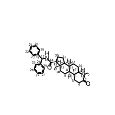 CN1C(=O)CC[C@]2(C)[C@H]3CC[C@]4(C)[C@@H](C(=O)NC(c5ccccc5)c5ccccc5)CC[C@H]4[C@@H]3CC[C@@H]12